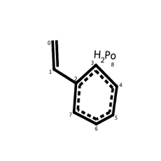 C=Cc1ccccc1.[PoH2]